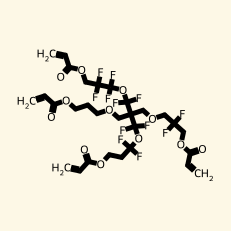 C=CC(=O)OCCCOCC(COCC(F)(F)COC(=O)C=C)(C(F)(F)OC(F)(F)CCOC(=O)C=C)C(F)(F)OC(F)(F)C(F)(F)COC(=O)C=C